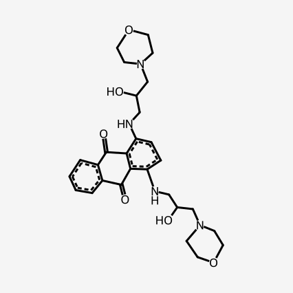 O=C1c2ccccc2C(=O)c2c(NCC(O)CN3CCOCC3)ccc(NCC(O)CN3CCOCC3)c21